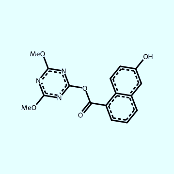 COc1nc(OC)nc(OC(=O)c2cccc3cc(O)ccc23)n1